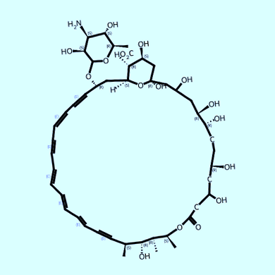 C[C@@H]1[C@H](O)[C@@H](C)/C=C/C=C/C=C/C=C/C=C/C=C/C=C/[C@H](OC2O[C@H](C)[C@@H](O)[C@H](N)[C@@H]2O)C[C@@H]2O[C@](O)(CC(O)C[C@@H](O)[C@H](O)CC[C@@H](O)CC(O)CC(=O)O[C@H]1C)C[C@H](O)[C@H]2C(=O)O